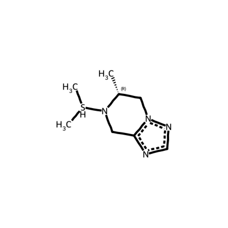 C[C@@H]1Cn2ncnc2CN1[SH](C)C